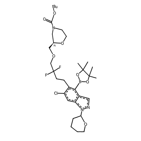 CC(C)(C)OC(=O)N1CCO[C@@H](COCC(F)(F)CCc2c(Cl)cc3c(cnn3C3CCCCO3)c2B2OC(C)(C)C(C)(C)O2)C1